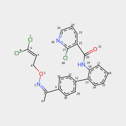 C/C(=N/OCC=C(Cl)Cl)c1ccc(-c2ccccc2NC(=O)c2cccnc2Cl)cc1